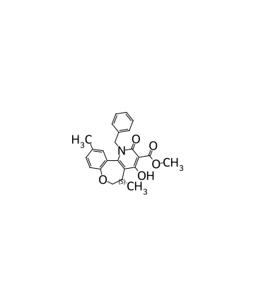 COC(=O)c1c(O)c2c(n(Cc3ccccc3)c1=O)-c1cc(C)ccc1OC[C@H]2C